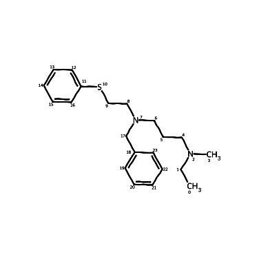 CCN(C)CCCN(CCSc1ccccc1)Cc1ccccc1